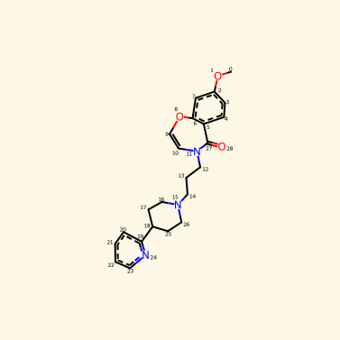 COc1ccc2c(c1)OC=CN(CCCN1CCC(c3ccccn3)CC1)C2=O